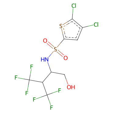 O=S(=O)(NC(CO)C(C(F)(F)F)C(F)(F)F)c1cc(Cl)c(Cl)s1